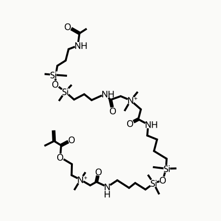 C=C(C)C(=O)OCC[N+](C)(C)CC(=O)NCCCC[Si](C)(C)O[Si](C)(C)CCCCNC(=O)C[N+](C)(C)CC(=O)NCCC[Si](C)(C)O[Si](C)(C)CCCNC(C)=O